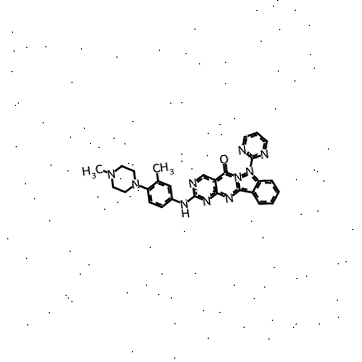 Cc1cc(Nc2ncc3c(=O)n4c(nc3n2)c2ccccc2n4-c2ncccn2)ccc1N1CCN(C)CC1